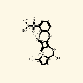 CC[C@@H](Nc1c(Nc2cccc(S(=O)(=O)N(CC)CC)c2O)c(=O)c1=O)c1ccc(C)o1